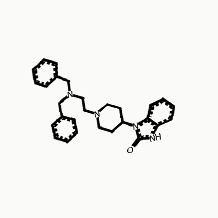 O=c1[nH]c2ccccc2n1C1CCN(CCN(Cc2ccccc2)Cc2ccccc2)CC1